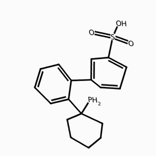 O=S(=O)(O)c1cccc(-c2ccccc2C2(P)CCCCC2)c1